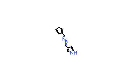 C1=CC(/C=N/N=C/c2cc[nH]c2)=CC1